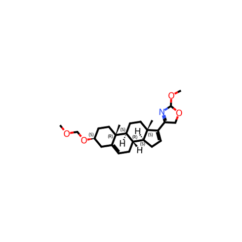 COCO[C@H]1CC[C@@]2(C)C(=CC[C@@H]3[C@@H]2CC[C@]2(C)C(C4=NC(OC)OC4)=CC[C@@H]32)C1